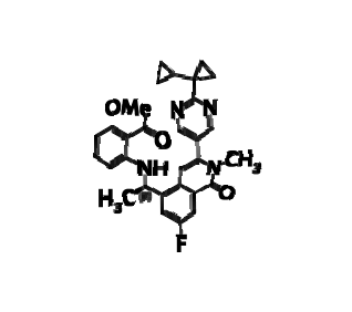 COC(=O)c1ccccc1N[C@H](C)c1cc(F)cc2c(=O)n(C)c(-c3cnc(C4(C5CC5)CC4)nc3)cc12